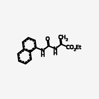 C=C(NC(=O)Nc1cccc2ccccc12)C(=O)OCC